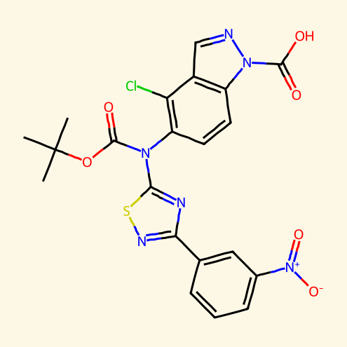 CC(C)(C)OC(=O)N(c1nc(-c2cccc([N+](=O)[O-])c2)ns1)c1ccc2c(cnn2C(=O)O)c1Cl